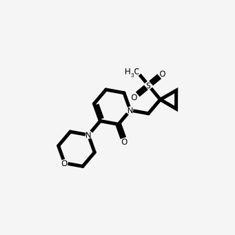 CS(=O)(=O)C1(CN2CCC=C(N3CCOCC3)C2=O)CC1